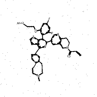 C=CC(=O)N1CCc2ncc(-c3nc(-c4ccc5c(c4)CCN(C)CC5)c4ccsc4c3-c3c(F)cc(F)cc3OCCOC)cc2C1